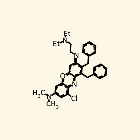 CCN(CC)CCN=c1cc2oc3cc(N(C)C)cc(Cl)c3nc-2c(Cc2ccccc2)c1Cc1ccccc1